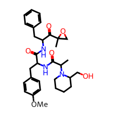 COc1ccc(CC(NC(=O)C(C)N2CCCCC2CO)C(=O)NC(Cc2ccccc2)C(=O)C2(C)CO2)cc1